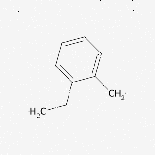 [CH2]Cc1ccccc1[CH2]